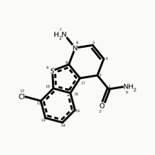 NC(=O)C1C=CN(N)c2sc3c(Cl)cccc3c21